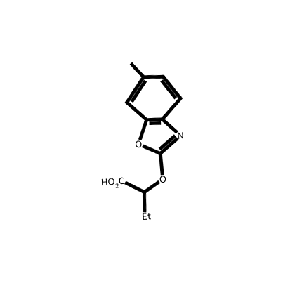 CCC(Oc1nc2ccc(C)cc2o1)C(=O)O